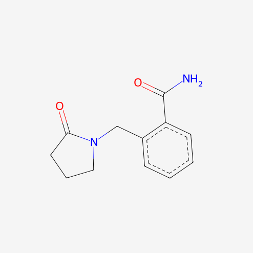 NC(=O)c1ccccc1CN1CCCC1=O